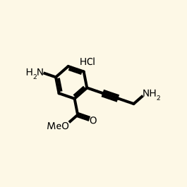 COC(=O)c1cc(N)ccc1C#CCN.Cl